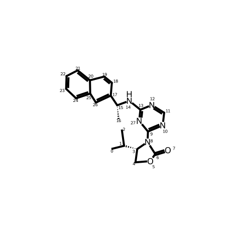 CC(C)[C@H]1COC(=O)N1c1ncnc(N[C@H](C)c2ccc3ccccc3c2)n1